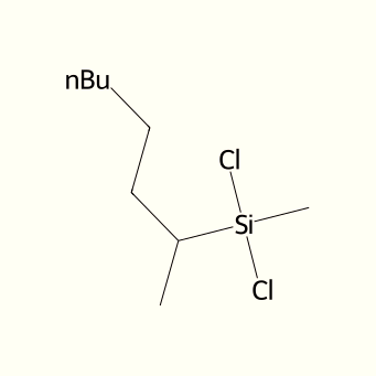 CCCCCCC(C)[Si](C)(Cl)Cl